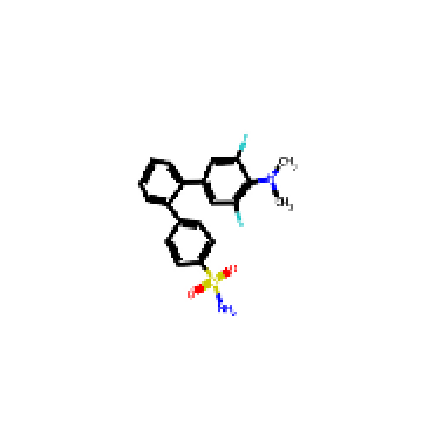 CN(C)c1c(F)cc(-c2ccccc2-c2ccc(S(N)(=O)=O)cc2)cc1F